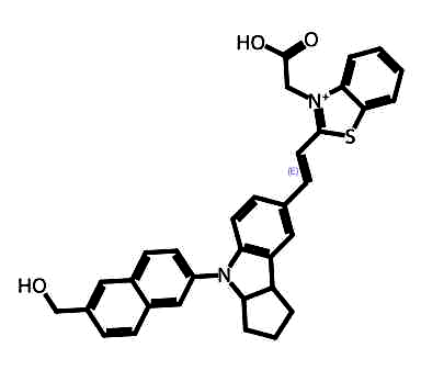 O=C(O)C[n+]1c(/C=C/c2ccc3c(c2)C2CCCC2N3c2ccc3cc(CO)ccc3c2)sc2ccccc21